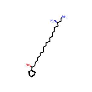 NCCC(N)CCCCCCCCCCCCCCCCCC(O)c1ccccc1